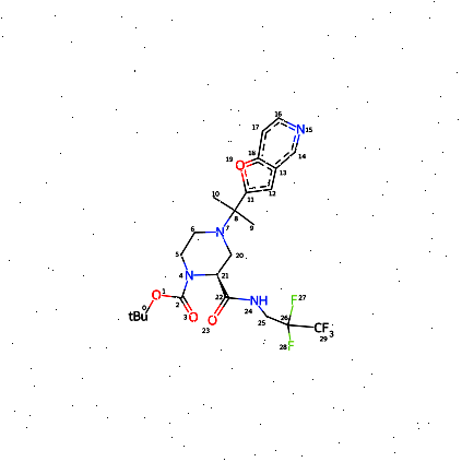 CC(C)(C)OC(=O)N1CCN(C(C)(C)c2cc3cnccc3o2)C[C@H]1C(=O)NCC(F)(F)C(F)(F)F